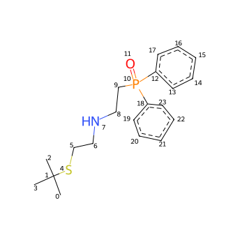 CC(C)(C)SCCNCCP(=O)(c1ccccc1)c1ccccc1